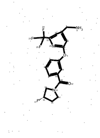 NCc1cc(Oc2cccc(C(=O)N3CC[C@H](F)C3)c2)nc(C(F)(F)F)c1